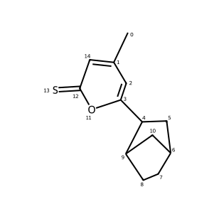 Cc1cc(C2CC3CCC2C3)oc(=S)c1